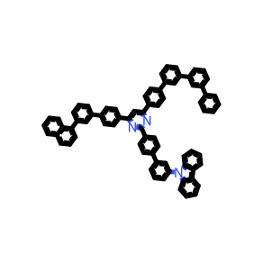 c1ccc(-c2cccc(-c3cccc(-c4ccc(-c5cc(-c6ccc(-c7cccc(-c8cccc9ccccc89)c7)cc6)nc(-c6ccc(-c7cccc(-n8c9ccccc9c9ccccc98)c7)cc6)n5)cc4)c3)c2)cc1